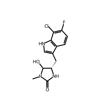 CN1C(=O)N[C@@H](Cc2c[nH]c3c(Cl)c(F)ccc23)C1O